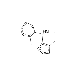 Cc1ccccc1C1NCCc2ccsc21